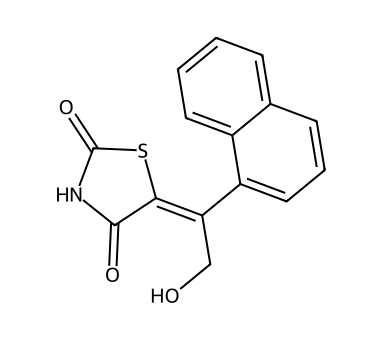 O=C1NC(=O)C(=C(CO)c2cccc3ccccc23)S1